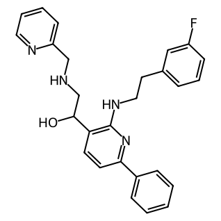 OC(CNCc1ccccn1)c1ccc(-c2ccccc2)nc1NCCc1cccc(F)c1